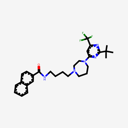 CC(C)(C)c1nc(N2CCCN(CCCCNC(=O)c3ccc4ccccc4c3)CC2)cc(C(F)(F)F)n1